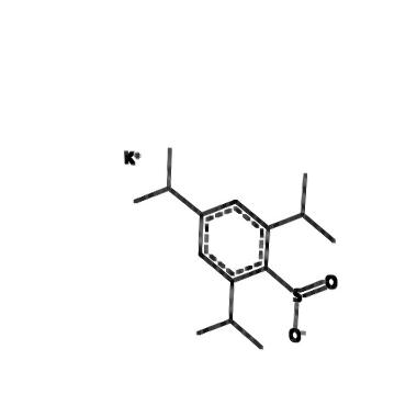 CC(C)c1cc(C(C)C)c(S(=O)[O-])c(C(C)C)c1.[K+]